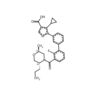 CCC[C@@H]1CO[C@@H](C)CN1C(=O)c1cccc(-c2cccc(-n3ncc(C(=O)O)c3C3CC3)c2)c1F